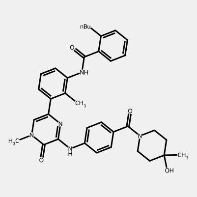 CCCCc1ccccc1C(=O)Nc1cccc(-c2cn(C)c(=O)c(Nc3ccc(C(=O)N4CCC(C)(O)CC4)cc3)n2)c1C